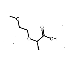 COCCO[C@H](C)C(=O)O